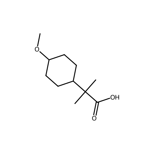 COC1CCC(C(C)(C)C(=O)O)CC1